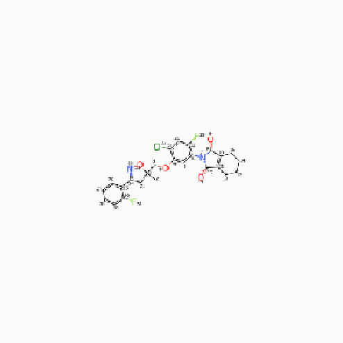 CC1(COc2cc(N3C(=O)C4=C(CCCC4)C3=O)c(F)cc2Cl)CC(c2ccccc2F)=NO1